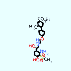 CCOC(=O)c1ccc(-c2ccc(OCCNC[C@H](O)c3ccc(O)c(S(C)(=O)=O)c3N)cc2)c(C)c1